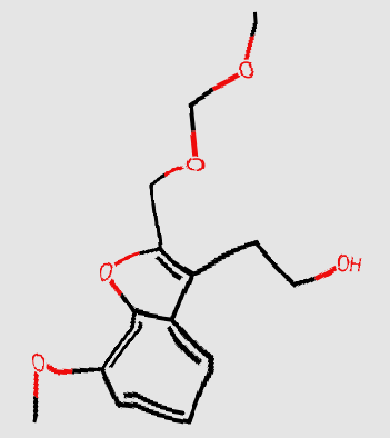 COCOCc1oc2c(OC)cccc2c1CCO